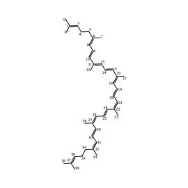 CC(C)=CCCC(C)=CC=CC(C)=CC=CC(C)=CC=CC=C(C)C=CC=C(C)C=CC=C(C)CCC=C(C)C